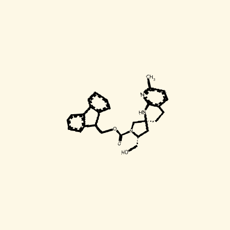 Cc1ccc2c(n1)N[C@@]1(CC2)C[C@H](CO)N(C(=O)OCC2c3ccccc3-c3ccccc32)C1